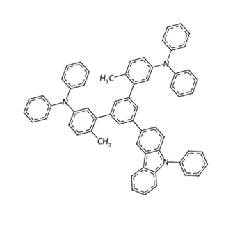 Cc1ccc(N(c2ccccc2)c2ccccc2)cc1-c1cc(-c2ccc3c(c2)c2ccccc2n3-c2ccccc2)cc(-c2cc(N(c3ccccc3)c3ccccc3)ccc2C)c1